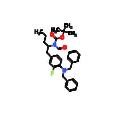 CCCC(Cc1ccc(N(Cc2ccccc2)Cc2ccccc2)c(F)c1)N(C=O)C(=O)OC(C)(C)C